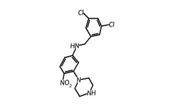 O=[N+]([O-])c1ccc(NCc2cc(Cl)cc(Cl)c2)cc1N1CCNCC1